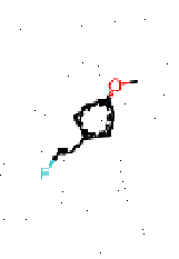 COc1ccc(C=[C]F)cc1